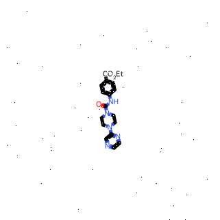 CCOC(=O)c1ccc(NC(=O)N2CCN(c3cnccn3)CC2)cc1